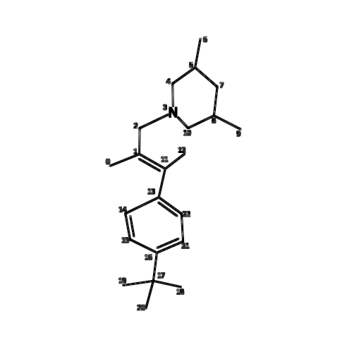 CC(CN1CC(C)CC(C)C1)=C(C)c1ccc(C(C)(C)C)cc1